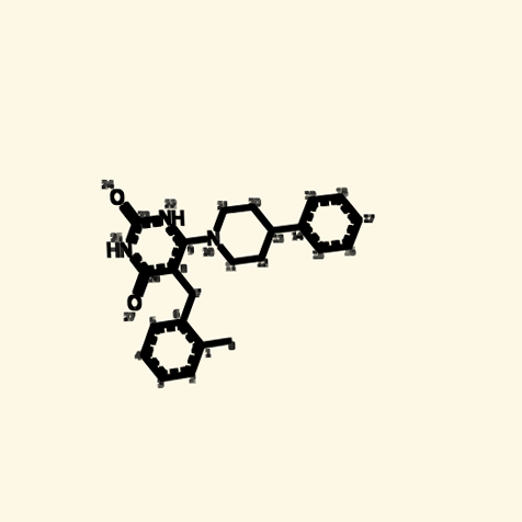 Cc1ccccc1Cc1c(N2CCC(c3ccccc3)CC2)[nH]c(=O)[nH]c1=O